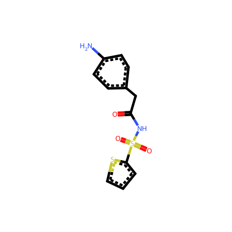 Nc1ccc(CC(=O)NS(=O)(=O)c2cccs2)cc1